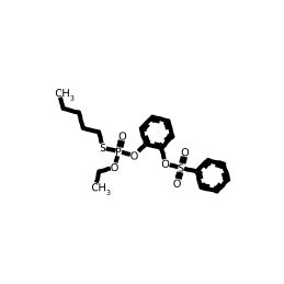 CCCCCSP(=O)(OCC)Oc1ccccc1OS(=O)(=O)c1ccccc1